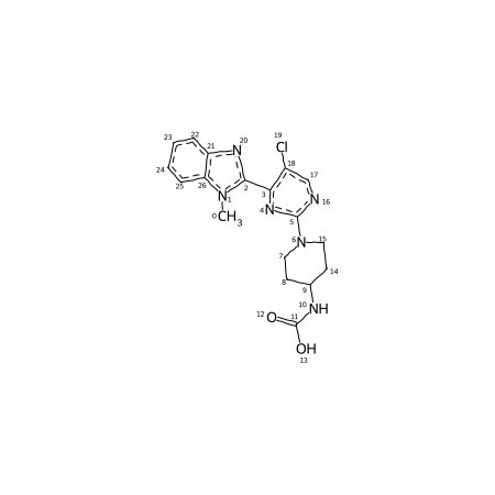 Cn1c(-c2nc(N3CCC(NC(=O)O)CC3)ncc2Cl)nc2ccccc21